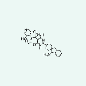 C=C(c1c(O)cncc1Cl)c1n[nH]c2nc(N3CCC4(CC3)Cc3ccccc3[C@H]4N)[nH]c(=O)c12